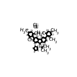 C[C](C)=[Ti+2]([C]1=CC=CC1)[CH]1c2ccc(-c3c(C)cc(C)cc3C)cc2-c2cc(-c3c(C)cc(C)cc3C)ccc21.[Cl-].[Cl-]